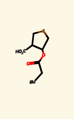 CCC(C)CC(=O)OC1CSCC1C(=O)O